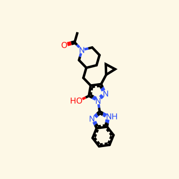 CC(=O)N1CCCC(Cc2c(C3CC3)nn(-c3nc4ccccc4[nH]3)c2O)C1